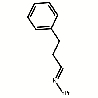 CCCN=CCCc1ccccc1